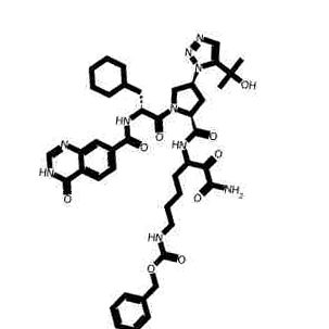 CC(C)(O)c1cnnn1[C@H]1C[C@@H](C(=O)NC(CCCCNC(=O)OCc2ccccc2)C(=O)C(N)=O)N(C(=O)[C@@H](CC2CCCCC2)NC(=O)c2ccc3c(=O)[nH]cnc3c2)C1